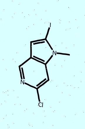 Cn1c(I)cc2cnc(Cl)cc21